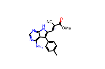 COC(=O)/C(C#N)=C/c1[nH]c2ncnc(N)c2c1-c1ccc(C)cc1